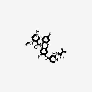 CCOc1cc[nH]c(=O)c1C(=O)N(c1ccc(F)cc1)c1cc(F)c(Oc2ccnc(NC(=O)C(C)C)c2)cc1F